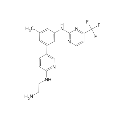 Cc1cc(Nc2nccc(C(F)(F)F)n2)cc(-c2ccc(NCCN)nc2)c1